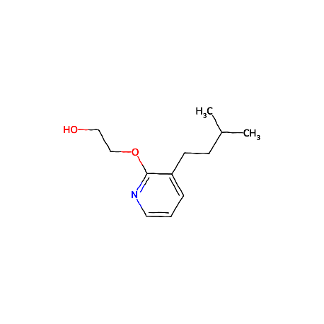 CC(C)CCc1cccnc1OCCO